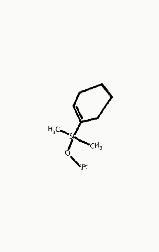 CC(C)O[Si](C)(C)C1=CCCCC1